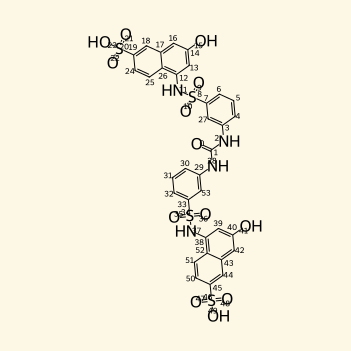 O=C(Nc1cccc(S(=O)(=O)Nc2cc(O)cc3cc(S(=O)(=O)O)ccc23)c1)Nc1cccc(S(=O)(=O)Nc2cc(O)cc3cc(S(=O)(=O)O)ccc23)c1